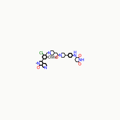 COc1cc(-c2cn(C)c(=O)c3cnccc23)cc(Cl)c1CN1CCC(CC(=O)N2CCC(c3ccc(NC4CCC(=O)NC4=O)cc3)CC2)CC1